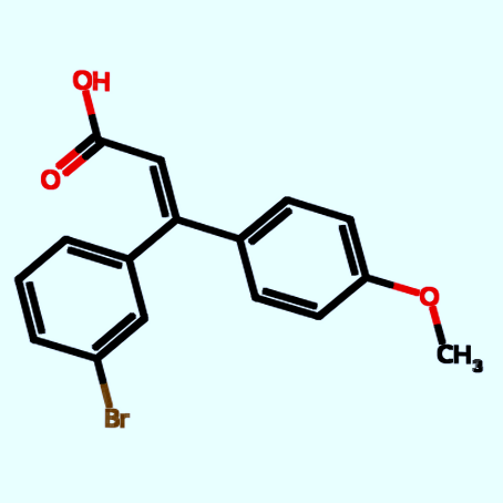 COc1ccc(C(=CC(=O)O)c2cccc(Br)c2)cc1